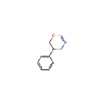 [C]1=NCC(c2ccccc2)CO1